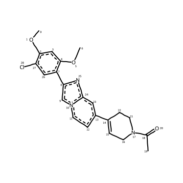 COc1cc(OC)c(-c2cn3ccc(C4=CCN(C(C)=O)CC4)cc3n2)cc1Cl